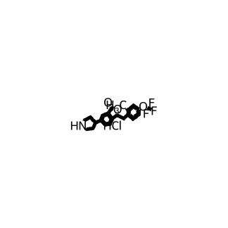 Cc1cc(OC(F)(F)F)ccc1CC1OC(=O)c2cc(C3CCNCC3)ccc21.Cl